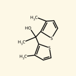 Cc1ccsc1C(C)(O)c1sccc1C